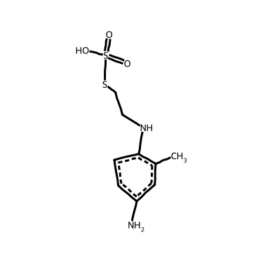 Cc1cc(N)ccc1NCCSS(=O)(=O)O